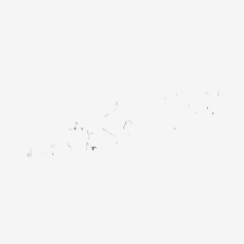 CCCCCCCCC1(C#N)CCC(COc2ccc(-c3ncc(CCCCCC)cn3)cc2)CC1